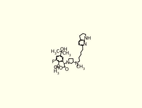 COc1c(F)cc(C(C)(C)O)cc1[C@H](C(=O)O)N1CC[C@@H](N(C)CCCCCc2ccc3c(n2)NCCC3)C1